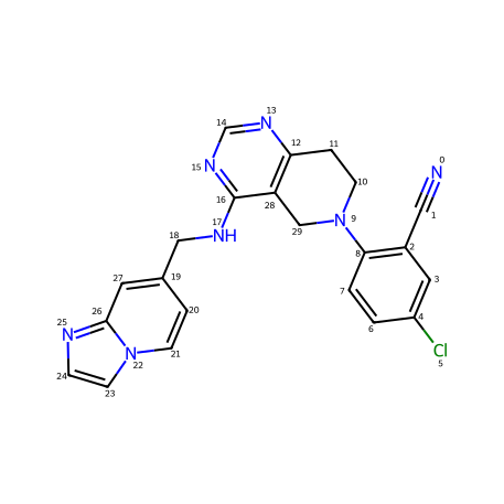 N#Cc1cc(Cl)ccc1N1CCc2ncnc(NCc3ccn4ccnc4c3)c2C1